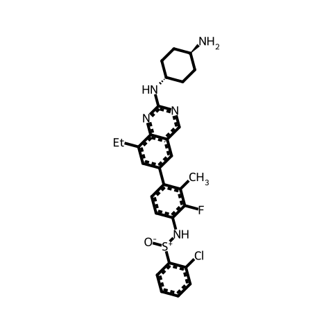 CCc1cc(-c2ccc(N[S+]([O-])c3ccccc3Cl)c(F)c2C)cc2cnc(N[C@H]3CC[C@H](N)CC3)nc12